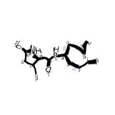 C=C/C=C\C(BC(=O)C1NC(=O)CC1C)=C/C=C